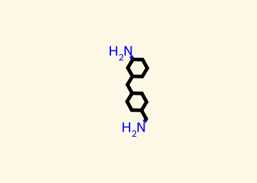 NCC1CCC(CC2CCCC(N)C2)CC1